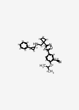 CC(C)Oc1ccc(-c2nc(C3(CN[C@H]4CC4c4ccccc4)CCC3)no2)cc1C#N